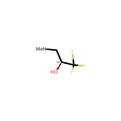 CNC[C@H](O)C(F)(F)F